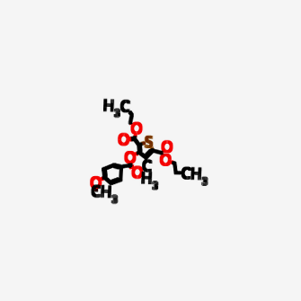 CCCOC(=O)c1sc(C(=O)OCCC)c(OC(=O)c2ccc(OC)cc2)c1C